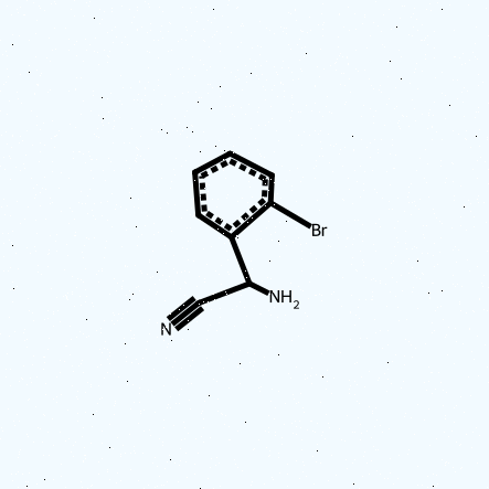 N#CC(N)c1ccccc1Br